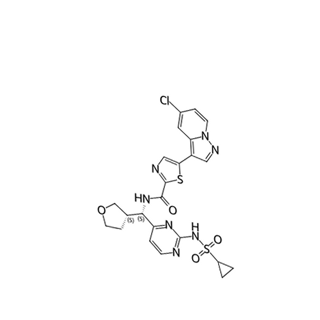 O=C(N[C@H](c1ccnc(NS(=O)(=O)C2CC2)n1)[C@@H]1CCOC1)c1ncc(-c2cnn3ccc(Cl)cc23)s1